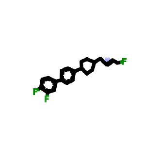 FC/C=C/CC1CCC(c2ccc(-c3ccc(F)c(F)c3)cc2)CC1